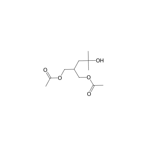 CC(=O)OCC(COC(C)=O)CC(C)(C)O